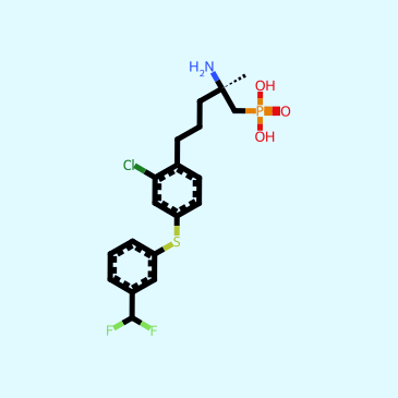 C[C@@](N)(CCCc1ccc(Sc2cccc(C(F)F)c2)cc1Cl)CP(=O)(O)O